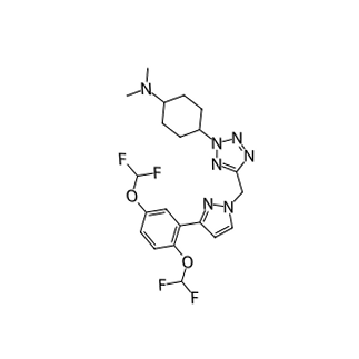 CN(C)C1CCC(n2nnc(Cn3ccc(-c4cc(OC(F)F)ccc4OC(F)F)n3)n2)CC1